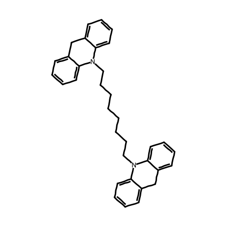 c1ccc2c(c1)Cc1ccccc1N2CCCCCCCCN1c2ccccc2Cc2ccccc21